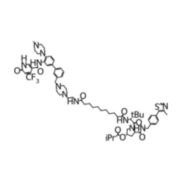 Cc1ncsc1-c1ccc(CNC(=O)C2CC(OC(=O)C(C)C)CN2C(=O)C(NC(=O)CCCCCCCCCC(=O)NCCN2CCN(Cc3cccc(-c4ccc(N5CCN(C)CC5)c(NC(=O)c5c[nH]c(=O)cc5C(F)(F)F)c4)c3)CC2)C(C)(C)C)cc1